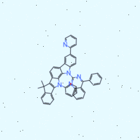 CC1(C)c2ccccc2-c2c1c1ccc3c4cc(-c5ccccn5)ccc4n(-c4nc(-c5ccccc5)c5ccccc5n4)c3c1n2-c1ccccc1